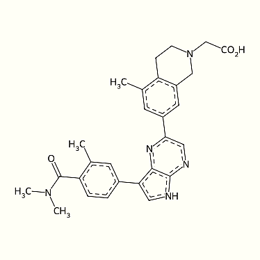 Cc1cc(-c2c[nH]c3ncc(-c4cc(C)c5c(c4)CN(CC(=O)O)CC5)nc23)ccc1C(=O)N(C)C